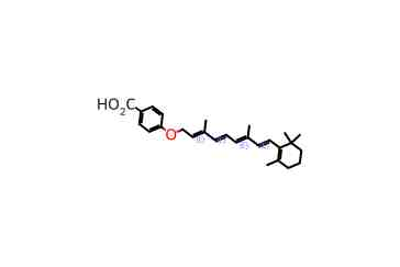 CC1=C(/C=C/C(C)=C/C=C/C(C)=C/COc2ccc(C(=O)O)cc2)C(C)(C)CCC1